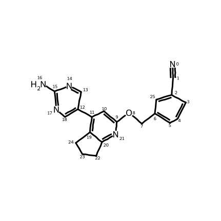 N#Cc1cccc(COc2cc(-c3cnc(N)nc3)c3c(n2)CCC3)c1